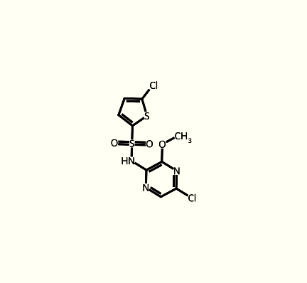 COc1nc(Cl)cnc1NS(=O)(=O)c1ccc(Cl)s1